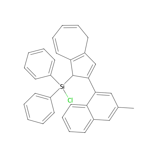 Cc1cc(C2=CC3=C(C=CC=CC3)C2[Si](Cl)(c2ccccc2)c2ccccc2)c2ccccc2c1